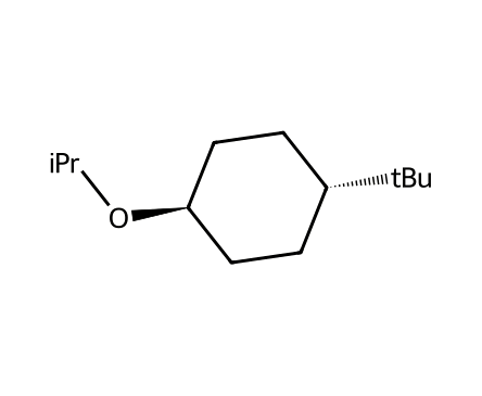 CC(C)O[C@H]1CC[C@H](C(C)(C)C)CC1